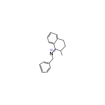 CC1CCc2ccccc2/C1=N/Cc1ccccc1